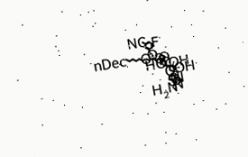 CCCCCCCCCCCCCCCCOC[C@H](COP(=O)(O)OCC1O[C@@](C)(c2ccc3c(N)ncnn23)[C@H](O)[C@@H]1O)OCc1cc(F)cc(C#N)c1